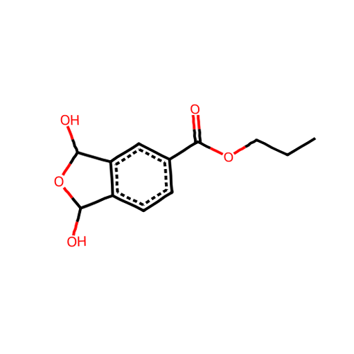 CCCOC(=O)c1ccc2c(c1)C(O)OC2O